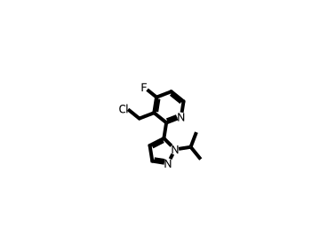 CC(C)n1nccc1-c1nccc(F)c1CCl